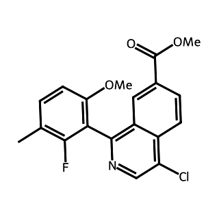 COC(=O)c1ccc2c(Cl)cnc(-c3c(OC)ccc(C)c3F)c2c1